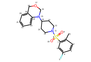 Cc1ccc(F)cc1S(=O)(=O)N1CCC(N2COCc3ccccc32)CC1